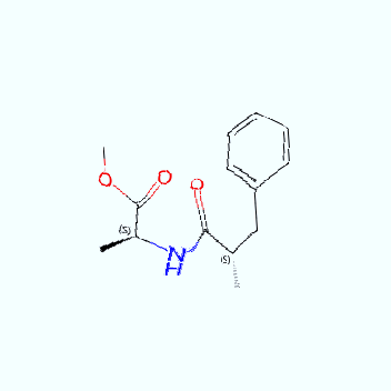 COC(=O)[C@H](C)NC(=O)[C@@H](C)Cc1ccccc1